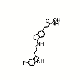 O=C(C=Cc1ccc2c(c1)CCC2NCCCc1c[nH]c2ccc(F)cc12)NO